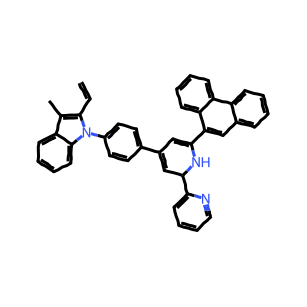 C=Cc1c(C)c2ccccc2n1-c1ccc(C2=CC(c3ccccn3)NC(c3cc4ccccc4c4ccccc34)=C2)cc1